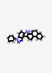 c1ccc(-n2ncc3c4c(ccc32)[nH]c2c3c(ccc24)-c2ccccc2CC3)cc1